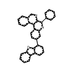 c1ccc(-c2nc3cc(-c4cccc5c4oc4ccccc45)ccc3c3c2ncc2ccccc23)cc1